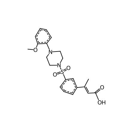 COc1ccccc1N1CCN(S(=O)(=O)c2cccc(/C(C)=C/C(=O)O)c2)CC1